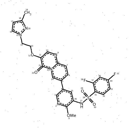 COc1ncc(-c2ccc3ncc(OCCn4ccc(C)n4)c(=O)n3c2)cc1NS(=O)(=O)c1ccc(F)cc1F